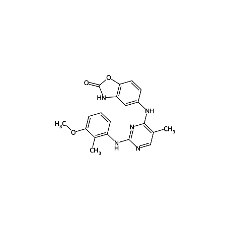 COc1cccc(Nc2ncc(C)c(Nc3ccc4oc(=O)[nH]c4c3)n2)c1C